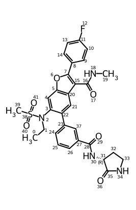 CCN(c1cc2oc(-c3ccc(F)cc3)c(C(=O)NC)c2cc1-c1cccc(C(=O)N[C@@H]2CCNC2=O)c1)S(C)(=O)=O